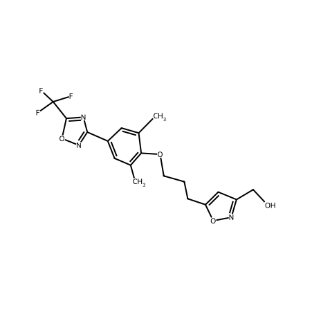 Cc1cc(-c2noc(C(F)(F)F)n2)cc(C)c1OCCCc1cc(CO)no1